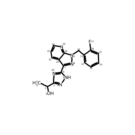 CC(O)c1n[nH]c(-c2nn(Cc3ccccc3F)c3ncccc23)n1